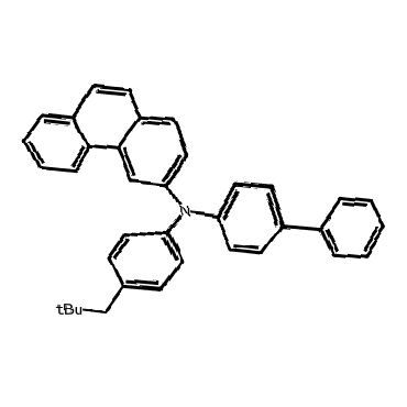 CC(C)(C)Cc1ccc(N(c2ccc(-c3ccccc3)cc2)c2ccc3ccc4ccccc4c3c2)cc1